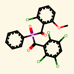 COc1cccc(Cl)c1C(=O)P(=O)(C(=O)c1c(Cl)c(Cl)cc(Cl)c1Cl)c1ccccc1